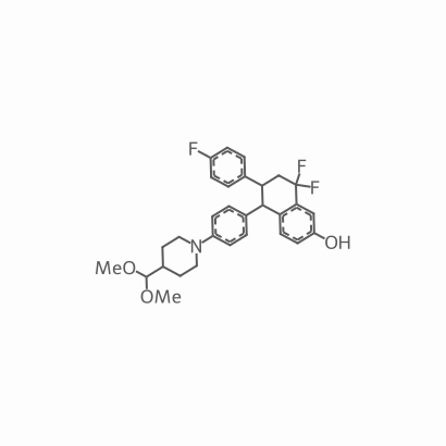 COC(OC)C1CCN(c2ccc(C3c4ccc(O)cc4C(F)(F)CC3c3ccc(F)cc3)cc2)CC1